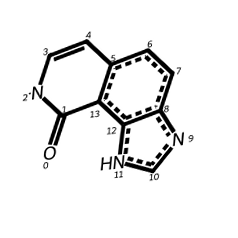 O=C1[N]C=Cc2ccc3nc[nH]c3c21